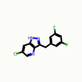 Fc1cc(F)cc(Cc2n[nH]c3cc(Cl)cnc23)c1